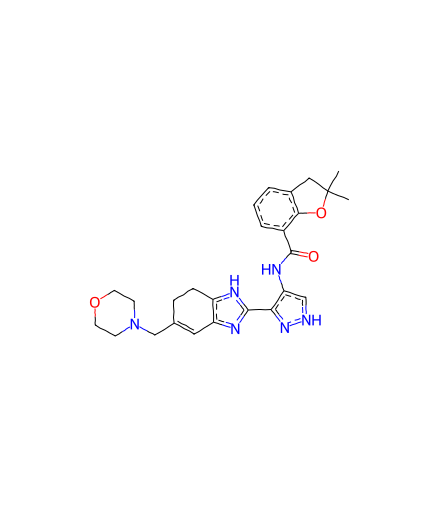 CC1(C)Cc2cccc(C(=O)Nc3c[nH]nc3-c3nc4c([nH]3)CCC(CN3CCOCC3)=C4)c2O1